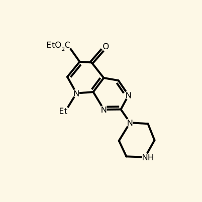 CCOC(=O)c1cn(CC)c2nc(N3CCNCC3)ncc2c1=O